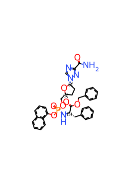 NC(=O)c1ncn([C@H]2CC[C@@H](COP(=O)(N[C@@H](Cc3ccccc3)C(=O)OCc3ccccc3)Oc3cccc4ccccc34)O2)n1